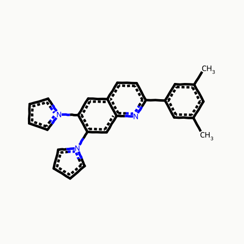 Cc1cc(C)cc(-c2ccc3cc(-n4cccc4)c(-n4cccc4)cc3n2)c1